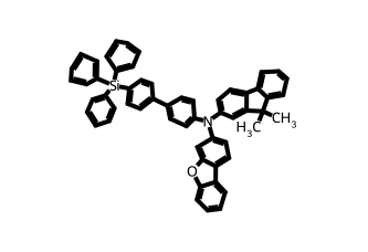 CC1(C)c2ccccc2-c2ccc(N(c3ccc(-c4ccc([Si](c5ccccc5)(c5ccccc5)c5ccccc5)cc4)cc3)c3ccc4c(c3)oc3ccccc34)cc21